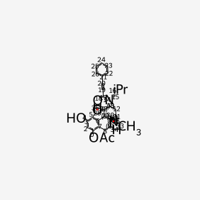 CC(=O)Oc1cc(O)c2c3c1C[C@@H]1[C@@H]4CC[C@@H](N(CC(C)C)C(=O)C#Cc5ccccc5)[C@H](O2)[C@]34CCN1C